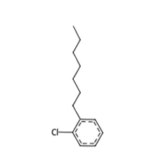 CCCCCCCc1ccccc1Cl